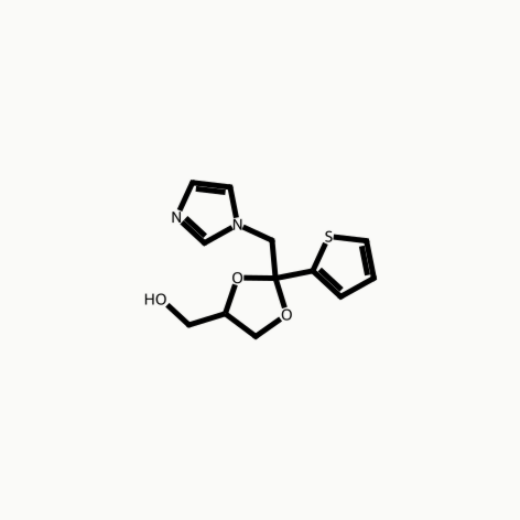 OCC1COC(Cn2ccnc2)(c2cccs2)O1